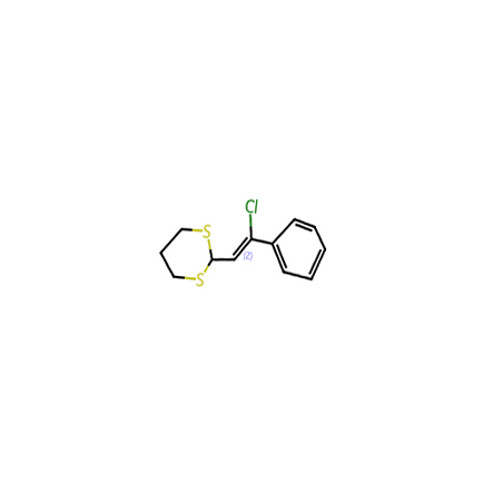 Cl/C(=C\C1SCCCS1)c1ccccc1